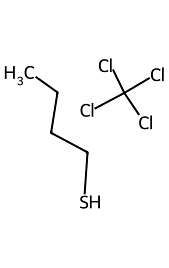 CCCCS.ClC(Cl)(Cl)Cl